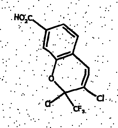 O=C(O)c1ccc2c(c1)OC(Cl)(C(F)(F)F)C(Cl)=C2